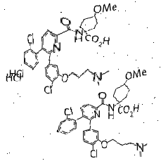 CO[C@H]1CC[C@@](NC(=O)c2ccc(-c3ccccc3Cl)c(-c3ccc(Cl)c(OCCCN(C)C)c3)n2)(C(=O)O)CC1.CO[C@H]1CC[C@](NC(=O)c2ccc(-c3ccccc3Cl)c(-c3ccc(Cl)c(OCCCN(C)C)c3)n2)(C(=O)O)CC1.Cl.Cl